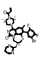 C=CC(=O)N1[C@H](C)CN(c2nc(=O)n3c4c(c(-c5cc(Br)c(F)cc5F)c(C)cc24)SC[C@@H](Cc2ncccn2)C3)C[C@@H]1C